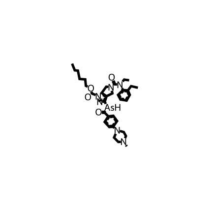 CCCCCCOC(=O)n1nc([AsH]C(=O)c2ccc(N3CCN(C)CC3)cc2)c2c1CN(C(=O)N(CC)c1ccccc1CC)C2